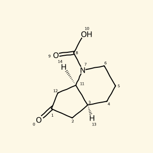 O=C1C[C@@H]2CCCN(C(=O)O)[C@@H]2C1